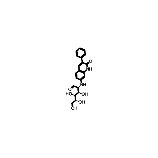 O=C[C@H](Nc1ccc2cc(-c3ccccc3)c(=O)[nH]c2c1)[C@@H](O)[C@H](O)[C@H](O)CO